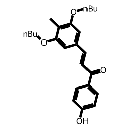 CCCCOc1cc(C=CC(=O)c2ccc(O)cc2)cc(OCCCC)c1C